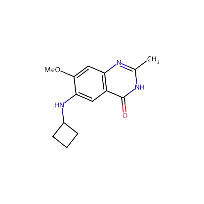 COc1cc2nc(C)[nH]c(=O)c2cc1NC1CCC1